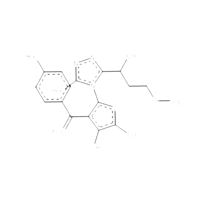 C=C(c1ccc(C)cc1)c1c(-n2c(C)nnc2C(C)CCOC)sc(C)c1C